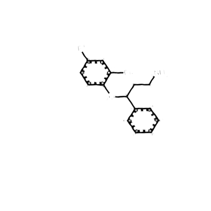 NCCC(Oc1ccc(F)cc1F)c1ccccc1